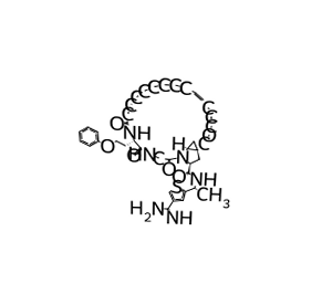 C[C@@H](NC(=O)[C@@H]1C[C@@]23COCCCC=CCCCCCCCCC(=O)N[C@@H](CCOc4ccccc4)C(=O)NCC(=O)N1[C@H]2C3)c1cc(C(=N)N)cs1